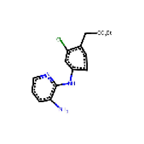 CCOC(=O)Cc1ccc(Nc2ncccc2N)cc1Cl